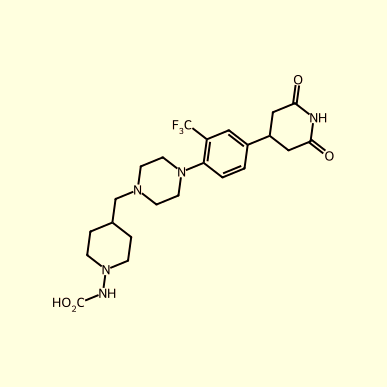 O=C(O)NN1CCC(CN2CCN(c3ccc(C4CC(=O)NC(=O)C4)cc3C(F)(F)F)CC2)CC1